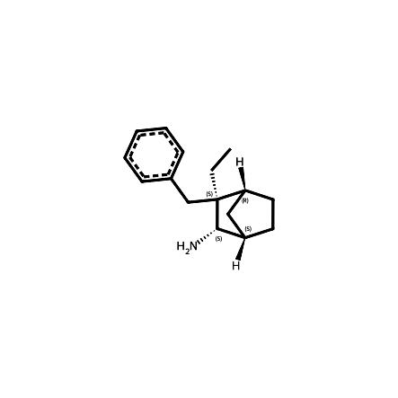 CC[C@]1(Cc2ccccc2)[C@@H]2CC[C@@H](C2)[C@@H]1N